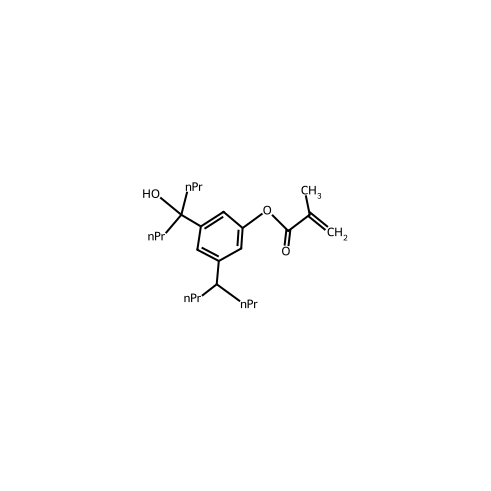 C=C(C)C(=O)Oc1cc(C(CCC)CCC)cc(C(O)(CCC)CCC)c1